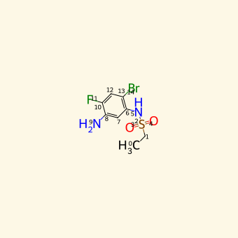 CCS(=O)(=O)Nc1cc(N)c(F)cc1Br